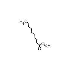 CCCCCCCC=CC(=O)OO